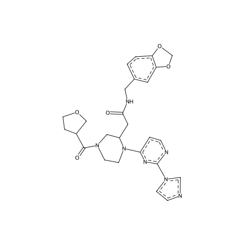 O=C(CC1CN(C(=O)C2CCOC2)CCN1c1ccnc(-n2ccnc2)n1)NCc1ccc2c(c1)OCO2